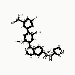 COc1cc(-c2cc(F)cc(C(F)F)c2)c(F)cc1-c1nccc2cc(S(=O)(=O)Nc3ccon3)ccc12